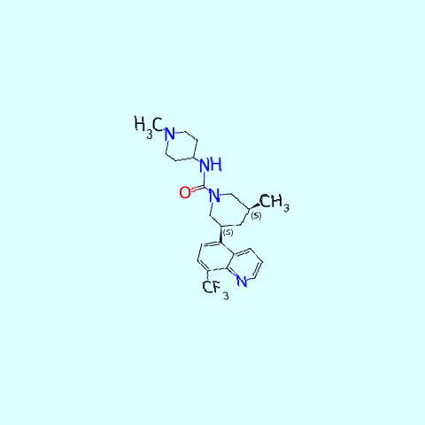 C[C@H]1C[C@@H](c2ccc(C(F)(F)F)c3ncccc23)CN(C(=O)NC2CCN(C)CC2)C1